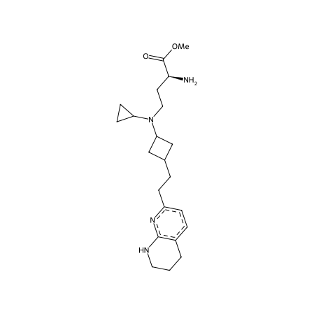 COC(=O)[C@@H](N)CCN(C1CC1)C1CC(CCc2ccc3c(n2)NCCC3)C1